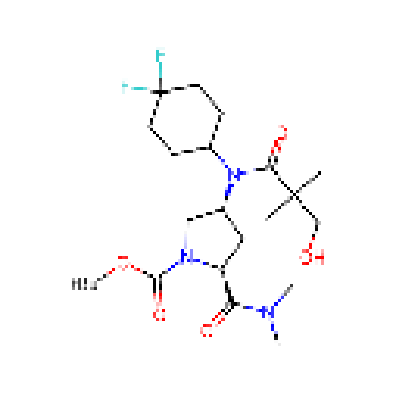 CN(C)C(=O)[C@@H]1C[C@H](N(C(=O)C(C)(C)CO)C2CCC(F)(F)CC2)CN1C(=O)OC(C)(C)C